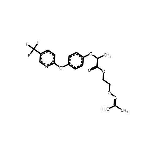 CC(C)=NOCCOC(=O)C(C)Oc1ccc(Oc2ccc(C(F)(F)F)cn2)cc1